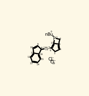 CCCCP1CC2=CC[C]([Ti+2][CH]3C=Cc4ccccc43)=C21.[Cl-].[Cl-]